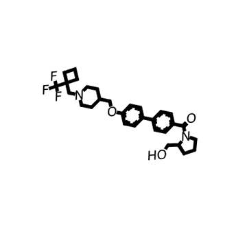 O=C(c1ccc(-c2ccc(OCC3CCN(CC4(C(F)(F)F)CCC4)CC3)cc2)cc1)N1CCCC1CO